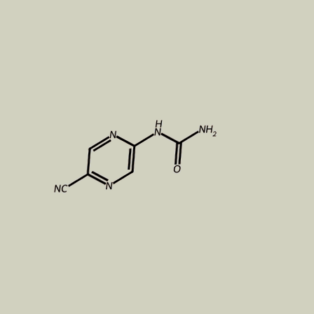 N#Cc1cnc(NC(N)=O)cn1